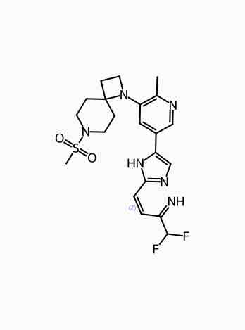 Cc1ncc(-c2cnc(/C=C\C(=N)C(F)F)[nH]2)cc1N1CCC12CCN(S(C)(=O)=O)CC2